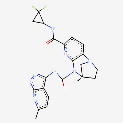 Cc1ccc2c(NC(O)N3c4nc(C(=O)NC5CC5(F)F)ccc4N4CC[C@H]3C4)n[nH]c2n1